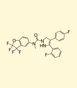 CN(C(=O)N1CC(c2ccc(F)cc2)=C(c2ccccc2F)N1)c1ccc2c(c1)C(F)(F)C(F)(F)O2